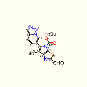 CC(C)c1c(-c2ccc3cnnn3c2)n(C(=O)OC(C)(C)C)c2sc(C=O)nc12